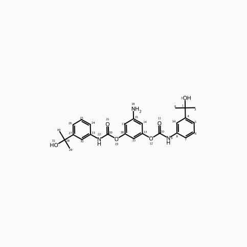 CC(C)(O)c1cccc(NC(=O)Oc2cc(N)cc(OC(=O)Nc3cccc(C(C)(C)O)c3)c2)c1